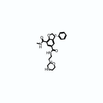 CNC(=O)c1cc(C(=O)NCC[C@@H]2CNCCO2)cc2c1OC[C@@H]2c1ccccc1